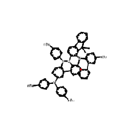 CCCCc1ccc(N2B3c4ccc5c(c4N(c4ccc(CCCC)cc4-c4ccccc4)c4cccc(c43)-c3cc(N(c4ccc(CCCC)cc4)c4ccc(CCCC)cc4)ccc32)C(C)(C)c2ccccc2-5)cc1